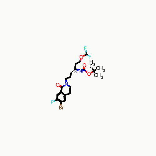 CC(C)(C)OC(=O)N[C@H](CCCn1ccc2cc(Br)c(F)cc2c1=O)CCOC(F)F